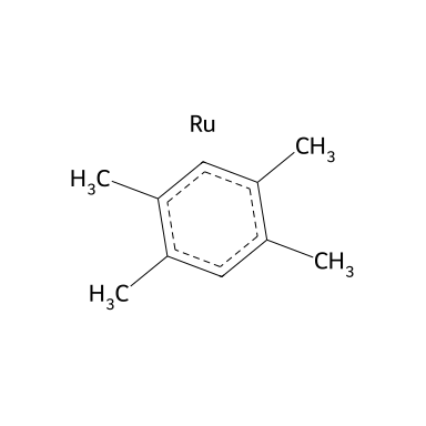 Cc1cc(C)c(C)cc1C.[Ru]